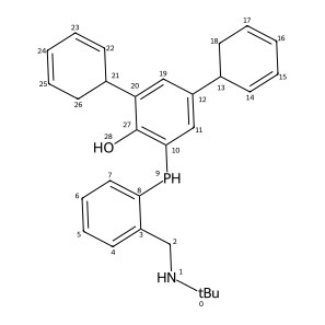 CC(C)(C)NCc1ccccc1Pc1cc(C2C=CC=CC2)cc(C2C=CC=CC2)c1O